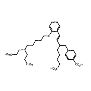 COCCN(CCCCCOc1ccccc1/C=C/C(CCCCC(=O)O)Cc1ccc(C(=O)O)cc1)CCOC